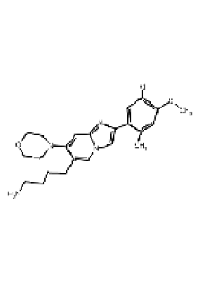 COc1cc(C)c(-c2cn3cc(CCCCN)c(N4CCOCC4)cc3n2)cc1Cl